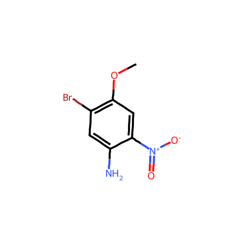 COc1cc([N+](=O)[O-])c(N)cc1Br